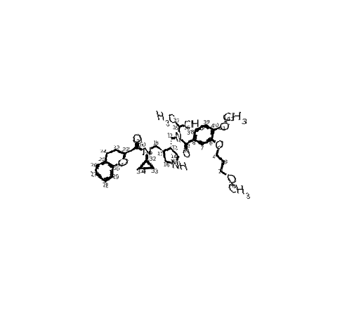 COCCCOc1cc(C(=O)N(C[C@@H]2CNC[C@H]2CN(C(=O)C2CCc3ccccc3O2)C2CC2)C(C)C)ccc1OC